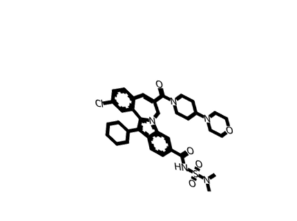 CN(C)S(=O)(=O)NC(=O)c1ccc2c(C3CCCCC3)c3n(c2c1)CC(C(=O)N1CCC(N2CCOCC2)CC1)=Cc1ccc(Cl)cc1-3